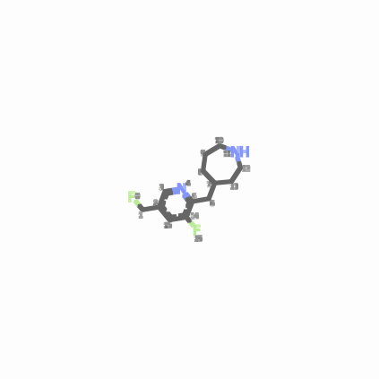 FCc1cnc(CC2CCCNCC2)c(F)c1